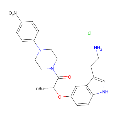 CCCCC(Oc1ccc2[nH]cc(CCN)c2c1)C(=O)N1CCN(c2ccc([N+](=O)[O-])cc2)CC1.Cl